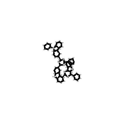 c1ccc(-c2nc(-c3ccc4sc5cccc(-c6nc(-c7ccccc7)c7sc8ccccc8c7n6)c5c4c3)nc(-c3ccc4c(c3)c3ccccc3n4-c3ccccc3)n2)cc1